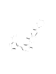 CNc1cc(-c2c[nH]c(=O)c(NC(=O)c3ccc(N4CCCCC4)cc3)c2)ccn1